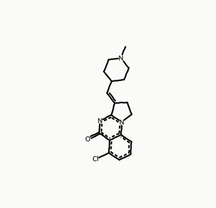 CN1CCC(/C=C2\CCn3c2nc(=O)c2c(Cl)cccc23)CC1